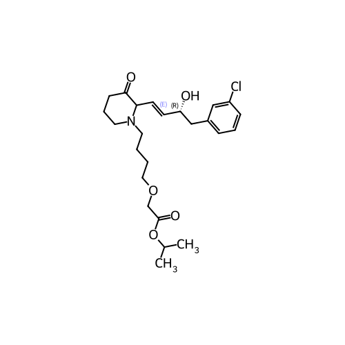 CC(C)OC(=O)COCCCCN1CCCC(=O)C1/C=C/[C@H](O)Cc1cccc(Cl)c1